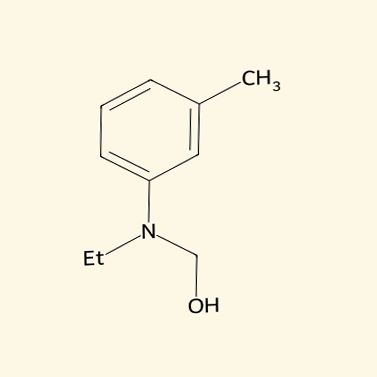 CCN(CO)c1cccc(C)c1